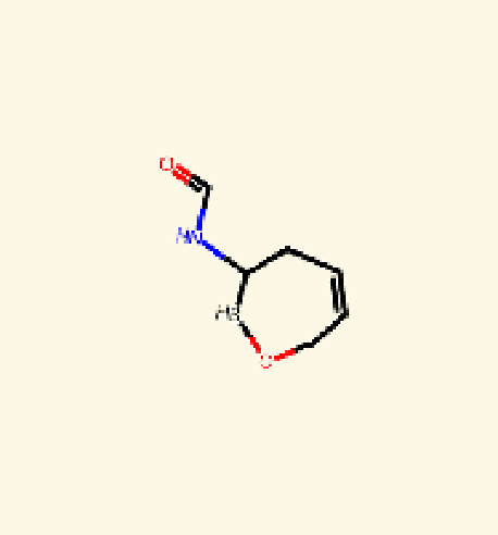 O=CNC1BOCC=CC1